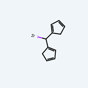 IC(C1=CC=CC1)C1=CC=CC1.[Zr]